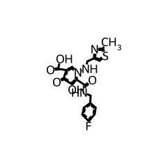 Cc1nc(CNn2cc(C(=O)O)c(=O)c(O)c2C(=O)NCc2ccc(F)cc2)cs1